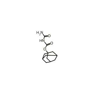 NC(=O)NC(=O)OC12CC3CC(CC(C3)C1)C2